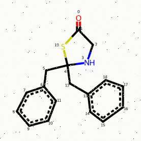 O=C1CNC(Cc2ccccc2)(Cc2ccccc2)S1